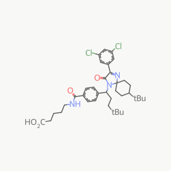 CC(C)(C)CCC(c1ccc(C(=O)NCCCCC(=O)O)cc1)N1C(=O)C(c2cc(Cl)cc(Cl)c2)=NC12CCC(C(C)(C)C)CC2